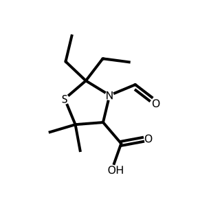 CCC1(CC)SC(C)(C)C(C(=O)O)N1C=O